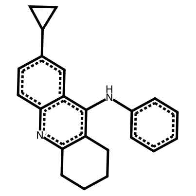 c1ccc(Nc2c3c(nc4ccc(C5CC5)cc24)CCCC3)cc1